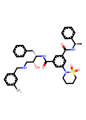 C[C@@H](NC(=O)c1cc(C(=O)N[C@@H](Cc2ccccc2)[C@H](O)CNCc2cccc(C(F)(F)F)c2)cc(N2CCCCS2(=O)=O)c1)c1ccccc1